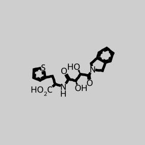 O=C(O)C(Cc1cccs1)NC(=O)[C@H](O)[C@@H](O)C(=O)N1Cc2ccccc2C1